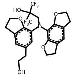 OCCc1cc2c(c(P(CC(O)(C(F)(F)F)C(F)(F)F)c3c4c(cc5c3OCC5)CCO4)c1)OCC2